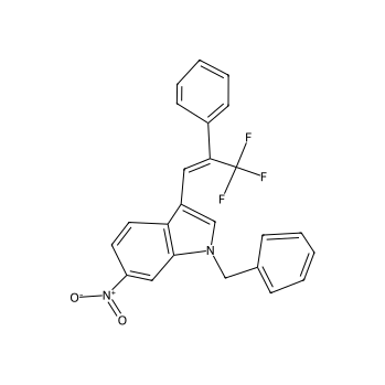 O=[N+]([O-])c1ccc2c(C=C(c3ccccc3)C(F)(F)F)cn(Cc3ccccc3)c2c1